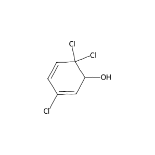 OC1C=C(Cl)C=CC1(Cl)Cl